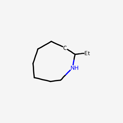 CCC1CCCCCCCN1